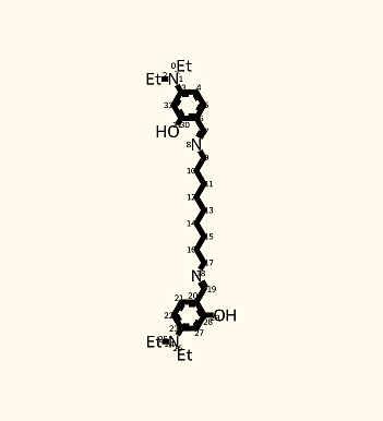 CCN(CC)c1ccc(C=NCCCCCCCCCN=Cc2ccc(N(CC)CC)cc2O)c(O)c1